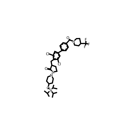 CC(C)[Si](OC1CCN(N2CCC(Cc3c(Cl)cc(-c4ccc(C(=O)N5CCC(C(F)(F)F)CC5)cc4)cc3Cl)C2=O)CC1)(C(C)C)C(C)C